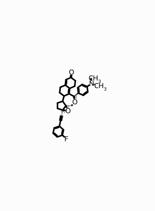 CN(C)c1ccc([C@H]2OC[C@]34O[C@@]3(C#Cc3cccc(F)c3)CCC4C3CCC4=CC(=O)CCC4=C32)cc1